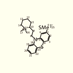 CSc1ccc2c(c1)N(CCC1CCCC[N+]1(C)C)c1ccccc1S2.[I-]